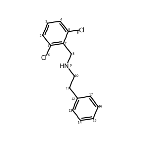 Clc1cccc(Cl)c1CNCCc1ccccc1